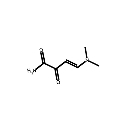 CN(C)C=CC(=O)C(N)=O